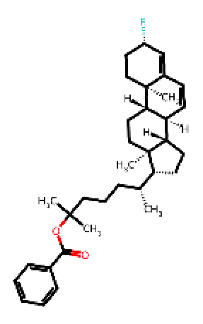 C[C@H](CCCC(C)(C)OC(=O)c1ccccc1)[C@H]1CC[C@H]2[C@@H]3C=CC4=C[C@@H](F)CC[C@]4(C)[C@H]3CC[C@]12C